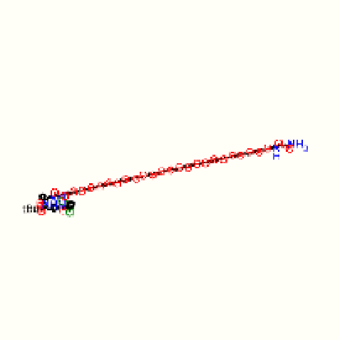 CC(C)(C)OC(=O)[C@H](Cc1ccc(NC(=O)c2c(Cl)cccc2Cl)cc1)NC(=O)C1(CCNC(=O)CCOCCOCCOCCOCCOCCOCCOCCOCCOCCOCCOCCOCCOCCOCCOCCOCCOCCOCCOCCOCCOCCOCCOCCOCCNC(=O)CCC(N)=O)CCCC1